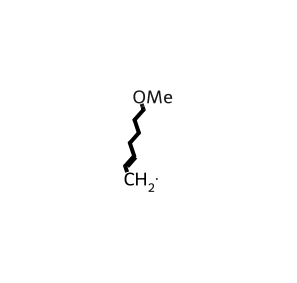 [CH2]C=CCCCCOC